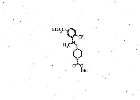 CCOC(=O)c1ccc(C(F)(F)F)c(N(C)CC2CCN(C(=O)OC(C)(C)C)CC2)c1